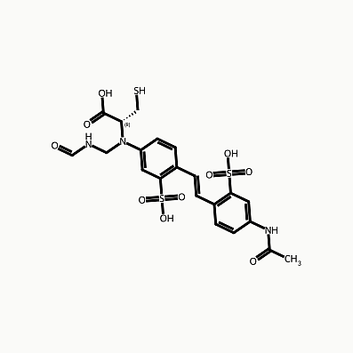 CC(=O)Nc1ccc(C=Cc2ccc(N(CNC=O)[C@@H](CS)C(=O)O)cc2S(=O)(=O)O)c(S(=O)(=O)O)c1